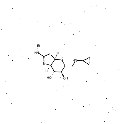 CCNC1=N[C@@H]2[C@@H](O)[C@H](O)[C@@H](CNC3CC3)O[C@@H]2S1